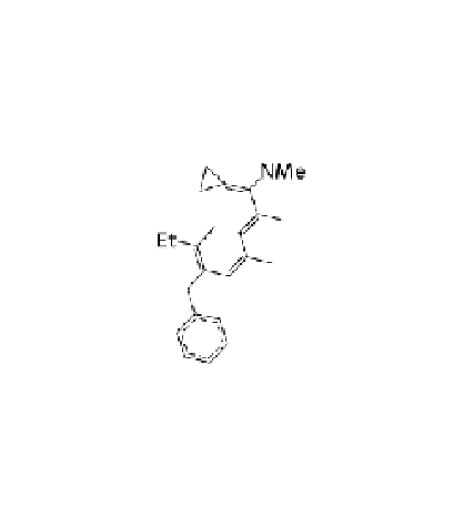 CC/C(C)=C(/C=C(C)\C=C(/C)C(NC)=C1CC1)Cc1ccccc1